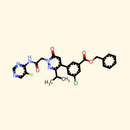 CC(C)c1nn(CC(=O)Nc2ncncc2F)c(=O)cc1-c1cc(Cl)cc(C(=O)OCc2ccccc2)c1